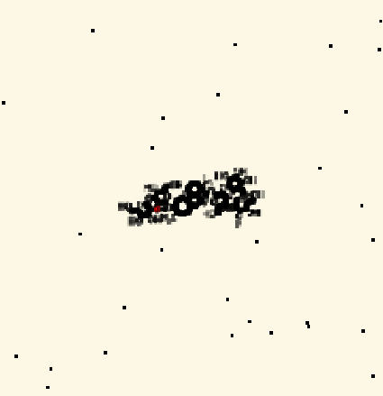 C=C1CCC2CCC3[C@](C)(C(=O)OC4OC(CO)C(O)C(OC5OC(CO)C(O)C(O)C5O)C4OC4CC(CO)C(O)C(O)C4O)CCC[C@@]3(C)[C@@H]2CCC1OC1OC(CO)C(O)C(OC2OC(CO)C(O)C(O)C2O)C1O